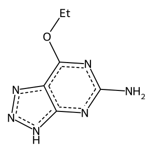 CCOc1nc(N)nc2[nH]nnc12